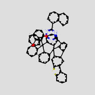 c1ccc(-c2nc(-c3cccc4c3C3(c5cc6sc7ccccc7c6cc5-4)c4ccccc4C4(c5ccccc5-c5ccccc54)c4ccccc43)nc(-c3cccc4ccccc34)n2)cc1